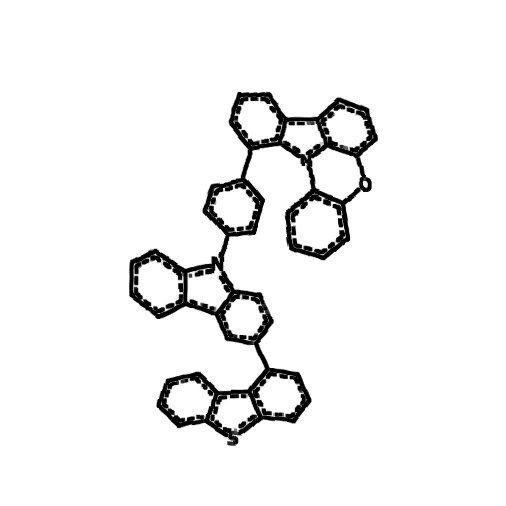 c1ccc2c(c1)Oc1cccc3c4cccc(-c5ccc(-n6c7ccccc7c7cc(-c8cccc9sc%10ccccc%10c89)ccc76)cc5)c4n-2c13